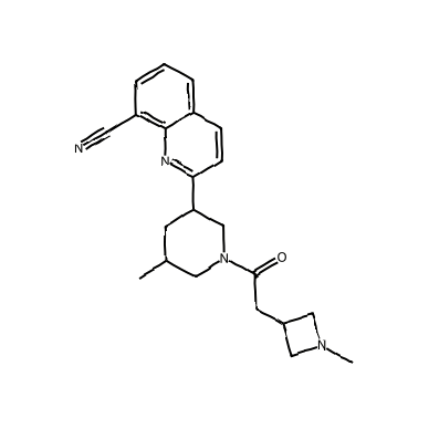 CC1CC(c2ccc3cccc(C#N)c3n2)CN(C(=O)CC2CN(C)C2)C1